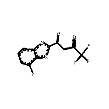 O=C(CC(=O)C(F)(F)F)c1nc2cccc(F)c2s1